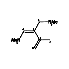 C=C(C)/C(=C\NC)CNC